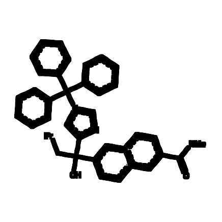 CNC(=O)c1ccc2cc(C(O)(CC(C)C)c3cn(C(c4ccccc4)(c4ccccc4)c4ccccc4)cn3)ccc2c1